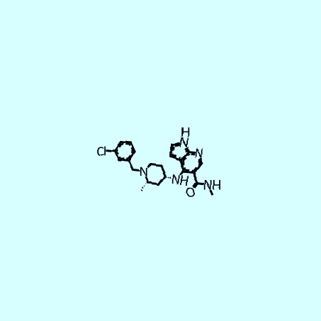 CNC(=O)c1cnc2[nH]ccc2c1N[C@H]1CCN(Cc2cccc(Cl)c2)[C@@H](C)C1